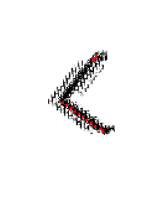 CC(=O)[O-].CC(=O)[O-].CC(=O)[O-].CC(=O)[O-].CC(C)[O-].CC(C)[O-].CC(C)[O-].CC(C)[O-].CC(C)[O-].CC(C)[O-].CC(C)[O-].CC(C)[O-].CC(C)[O-].CC(C)[O-].CC(C)[O-].CC(C)[O-].CC(C)[O-].CC(C)[O-].CC(C)[O-].CC(C)[O-].[NaH].[NaH].[NaH].[NaH].[Ti+4].[Ti+4].[Ti+4].[Ti+4].[Ti+4]